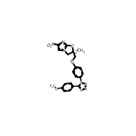 C[C@]1(COc2ccc(-n3nnnc3-c3ccc(OC(F)(F)F)cc3)cc2)Cn2cc([N+](=O)[O-])nc2O1